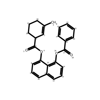 CC1=CC(C(=O)Oc2cccc3cccc(OC(=O)c4ccccc4)c23)CCC1